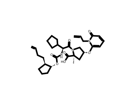 C=CCC[C@@H]1CCC[C@H]1OC(=O)N[C@H](C(=O)N1C[C@H](Oc2cccc(=O)n2CC=C)C[C@@]1(C)C(=O)O)C1CCCC1